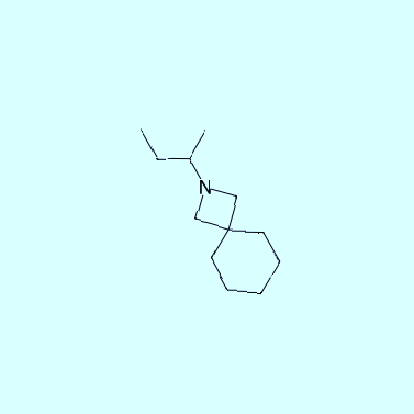 CCC(C)N1CC2(CCCCC2)C1